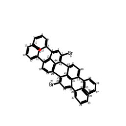 Brc1cc(-c2ccccc2)c2c(-c3ccccc3)ccc3c4c(Br)cc(-c5ccccc5)c5c(-c6ccccc6)ccc(c1c23)c54